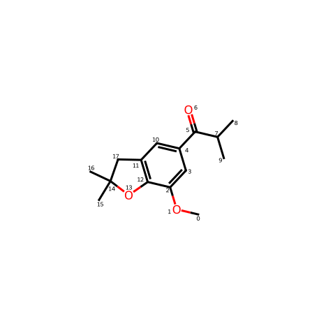 COc1cc(C(=O)C(C)C)cc2c1OC(C)(C)C2